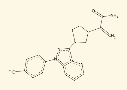 C=C(C(N)=O)C1CCN(c2nn(-c3ccc(C(F)(F)F)cc3)c3cccnc23)C1